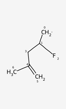 [CH2]C(F)CC(=C)C